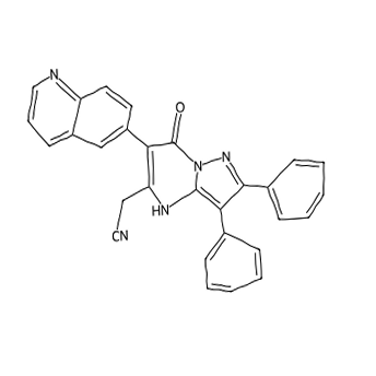 N#CCc1[nH]c2c(-c3ccccc3)c(-c3ccccc3)nn2c(=O)c1-c1ccc2ncccc2c1